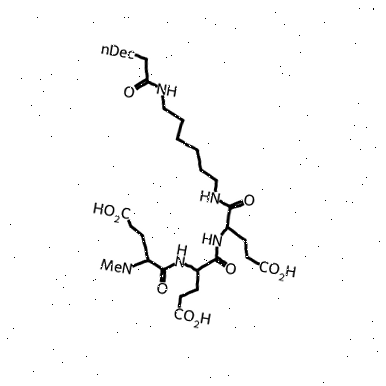 CCCCCCCCCCCC(=O)NCCCCCCNC(=O)C(CCC(=O)O)NC(=O)C(CCC(=O)O)NC(=O)C(CCC(=O)O)NC